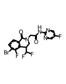 O=C(CN1CC(C(F)F)c2c(ccc(Br)c2F)C1=O)Nc1ncc(F)cn1